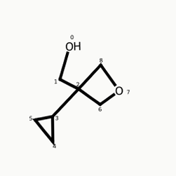 OCC1(C2CC2)COC1